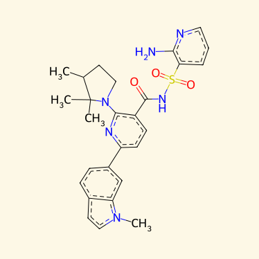 CC1CCN(c2nc(-c3ccc4ccn(C)c4c3)ccc2C(=O)NS(=O)(=O)c2cccnc2N)C1(C)C